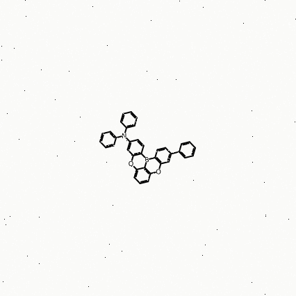 c1ccc(-c2ccc3c(c2)Oc2cccc4c2B3c2ccc(N(c3ccccc3)c3ccccc3)cc2O4)cc1